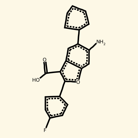 Nc1cc2oc(-c3ccc(F)cc3)c(C(=O)O)c2cc1-c1ccccc1